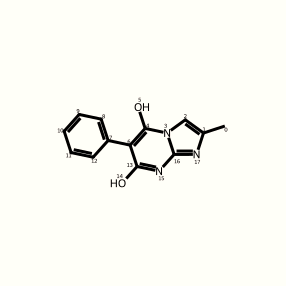 Cc1cn2c(O)c(-c3ccccc3)c(O)nc2n1